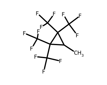 CC1C(C(F)(F)F)(C(F)(F)F)C1(C(F)(F)F)C(F)(F)F